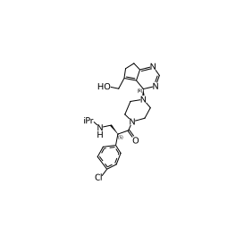 CC(C)NC[C@@H](C(=O)N1CCN([C@@H]2N=CN=C3CCC(CO)=C32)CC1)c1ccc(Cl)cc1